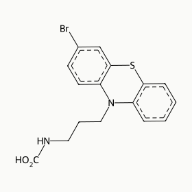 O=C(O)NCCCN1c2ccccc2Sc2cc(Br)ccc21